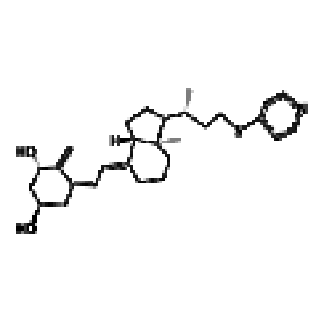 C=C1/C(=C\C=C2/CCC[C@]3(C)C([C@H](C)CCSc4ccncc4)CC[C@@H]23)C[C@@H](O)C[C@@H]1O